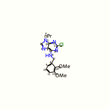 CCCn1cnc2c(NCc3cccc(OC)c3OC)nc(Cl)nc21